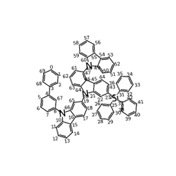 c1ccc(-c2cccc(-n3c4ccccc4c4ccc(-n5c6cc([Si](c7ccccc7)(c7ccccc7)c7ccccc7)ccc6c6c(-n7c8ccccc8c8ccccc87)cccc65)cc43)c2)cc1